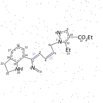 C=N/C(=C\C=C/Cn1ncc(C(=O)OCC)c1CC)c1cccc2c1NCC2